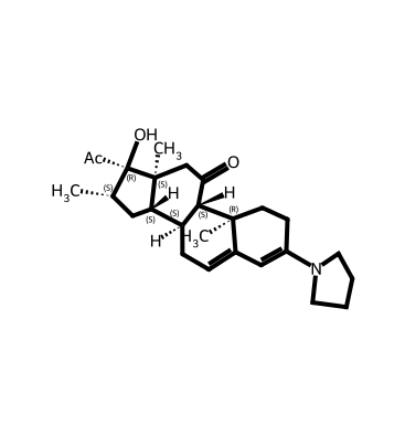 CC(=O)[C@@]1(O)[C@@H](C)C[C@H]2[C@@H]3CC=C4C=C(N5CCCC5)CC[C@]4(C)[C@H]3C(=O)C[C@@]21C